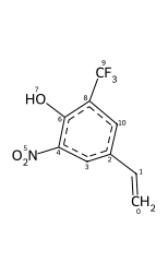 C=Cc1cc([N+](=O)[O-])c(O)c(C(F)(F)F)c1